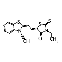 C#CN1C(=CC=C2SC(=S)N(CC)C2=O)Sc2ccccc21